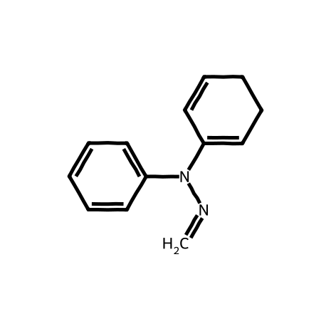 C=NN(C1=CCCC=C1)c1ccccc1